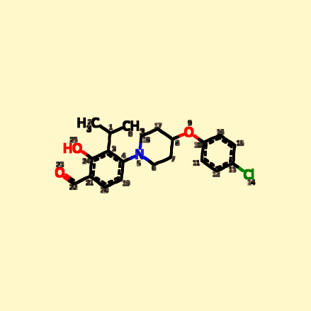 CC(C)c1c(N2CCC(Oc3ccc(Cl)cc3)CC2)ccc(C=O)c1O